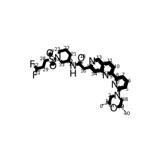 C[C@@H]1CN(c2cccc(-c3ccc4cnc(CC(=O)N[C@@H]5CCCN(S(=O)(=O)CCC(F)F)C5)cc4n3)n2)C[C@H](C)O1